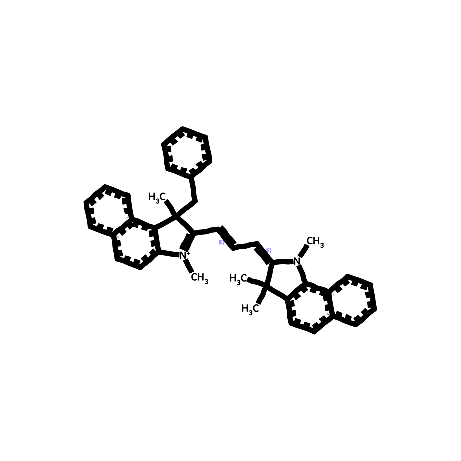 CN1/C(=C/C=C/C2=[N+](C)c3ccc4ccccc4c3C2(C)Cc2ccccc2)C(C)(C)c2ccc3ccccc3c21